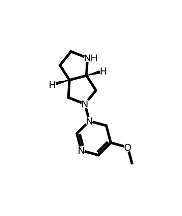 COC1=CN=CN(N2C[C@@H]3CCN[C@@H]3C2)C1